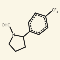 O=CN1CCCC1c1ccc(C(F)(F)F)cc1